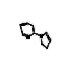 C1=CN(c2ccccn2)CC1